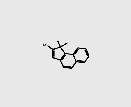 CC1=Cc2ccc3ccccc3c2C1(I)I